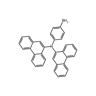 Bc1ccc(N(c2cc3ccccc3c3ccccc23)c2cc3ccccc3c3ccccc23)cc1